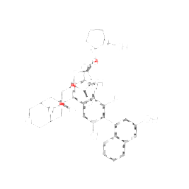 CN1CCC[C@H]1COc1nc(N2CC3COCC(C2)N3C(=O)CC2SC(=O)NC2=O)c2cc(Cl)c(-c3cc(O)cc4ccccc34)c(F)c2n1